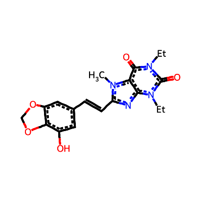 CCn1c(=O)c2c(nc(/C=C/c3cc(O)c4c(c3)OCO4)n2C)n(CC)c1=O